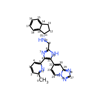 Cc1cccc(-c2nc(CN[C@H]3CCc4ccccc43)[nH]c2-c2ccn3ncnc3c2)n1